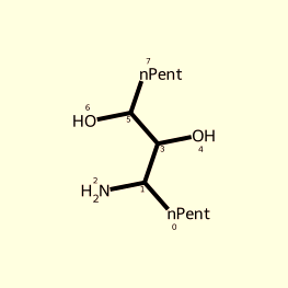 CCCCCC(N)C(O)C(O)CCCCC